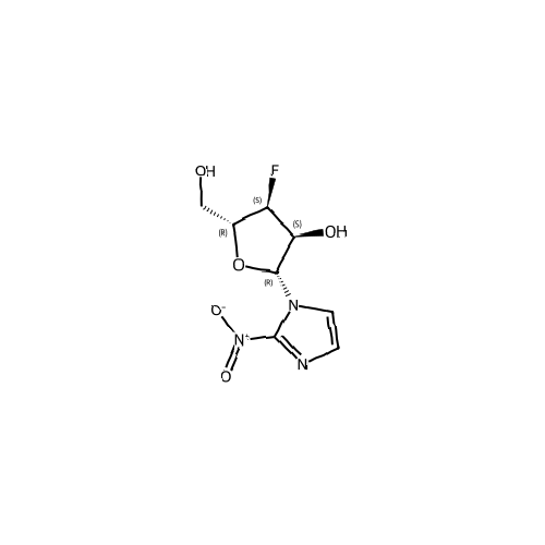 O=[N+]([O-])c1nccn1[C@@H]1O[C@H](CO)[C@@H](F)[C@H]1O